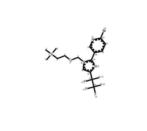 C[Si](C)(C)CCOCn1cc(C(F)(F)C(F)(F)F)nc1-c1ccc(Br)nc1